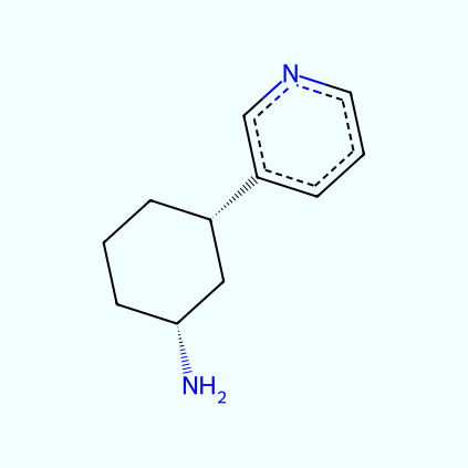 N[C@@H]1CCC[C@H](c2cccnc2)C1